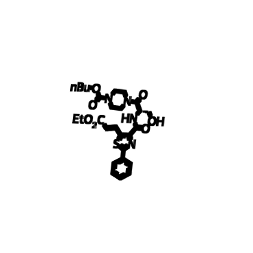 CCCCOC(=O)N1CCN(C(=O)[C@H](CO)NC(=O)c2nc(-c3ccccc3)sc2/C=C/C(=O)OCC)CC1